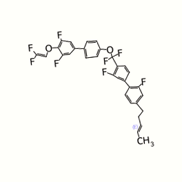 C/C=C/CCc1ccc(-c2ccc(C(F)(F)Oc3ccc(-c4cc(F)c(OC=C(F)F)c(F)c4)cc3)c(F)c2)c(F)c1